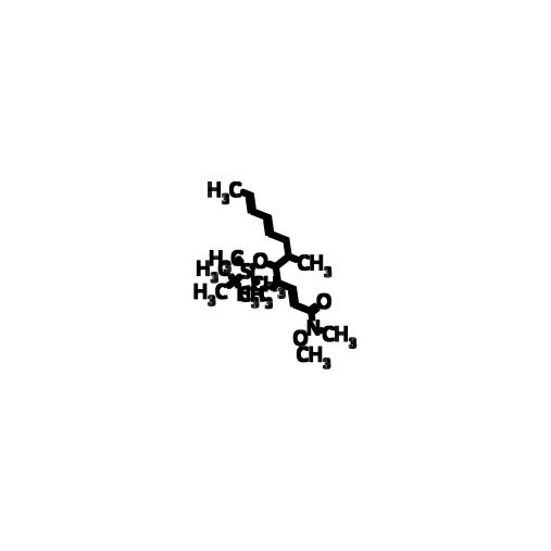 CC=CC=CCC(C)C(O[Si](C)(C)C(C)(C)C)C(C)C=CC(=O)N(C)OC